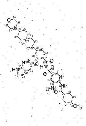 C[C@H]1CC[C@@H](CNc2ncc(S(=O)(=O)NC(=O)c3ccc(N4CCC5(CCC(N6CCOCC6)CC5)CC4)cc3Oc3cnc4[nH]ccc4c3)cc2[N+](=O)[O-])CC1